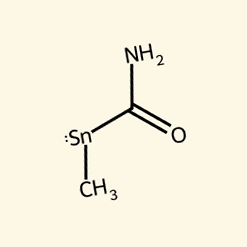 [CH3][Sn][C](N)=O